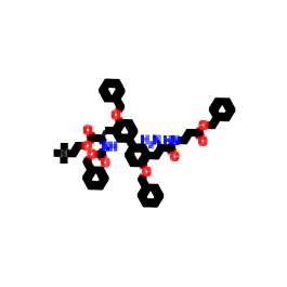 C[Si](C)(C)CCOC(=O)[C@H](Cc1cc(-c2ccc(OCc3ccccc3)c(C[C@H](N)C(=O)NCCC(=O)OCc3ccccc3)c2)ccc1OCc1ccccc1)NC(=O)OCc1ccccc1